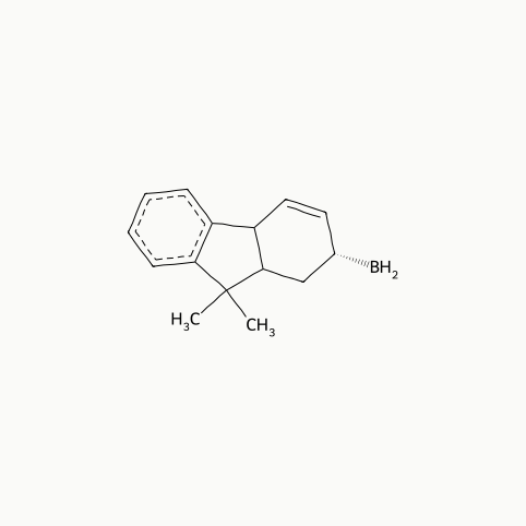 B[C@H]1C=CC2c3ccccc3C(C)(C)C2C1